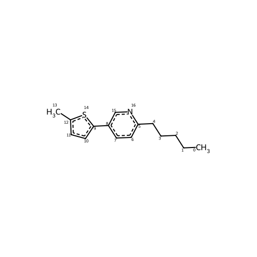 CCCCCc1ccc(-c2ccc(C)s2)cn1